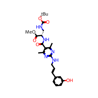 COC(=O)[C@H](CNC(=O)OC(C)(C)C)NC(=O)c1c(C)nc(NCC=Cc2cccc(O)c2)nc1C